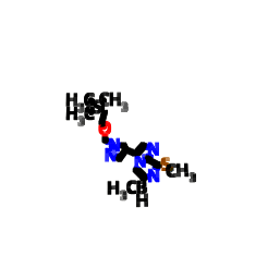 CBc1cn2c(C3C=NN(COCC[Si](C)(C)C)C3)cnc2c(SC)n1